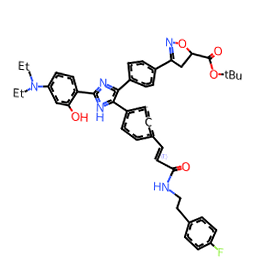 CCN(CC)c1ccc(-c2nc(-c3ccc(C4=NOC(C(=O)OC(C)(C)C)C4)cc3)c(-c3ccc(/C=C/C(=O)NCCc4ccc(F)cc4)cc3)[nH]2)c(O)c1